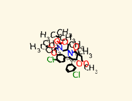 CCC(CN(C(=O)OC(C)(C)C)C(=O)OC(C)(C)C)N1C(=O)[C@@](C)(CC(=O)OC)C[C@H](c2cccc(Cl)c2)[C@H]1c1ccc(Cl)cc1